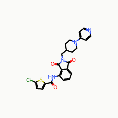 O=C(Nc1cccc2c1C(=O)N(CC1CCN(c3ccncc3)CC1)C2=O)c1ccc(Cl)s1